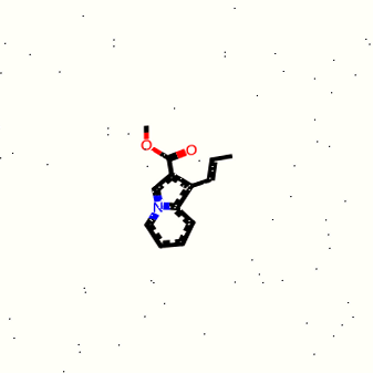 C/C=C/c1c(C(=O)OC)cn2ccccc12